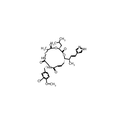 COc1ccc(C[C@H]2NC(=O)/C=C/C[C@@H]([C@H](C)/C=C/c3cn[nH]c3)OC(=O)[C@H](CC(C)C)OC(=O)[C@H](C)CNC2=O)cc1Cl